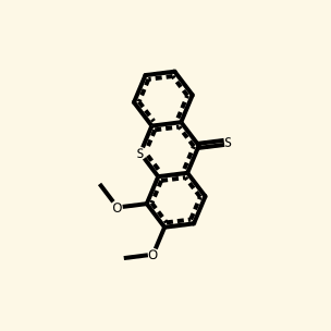 COc1ccc2c(=S)c3ccccc3sc2c1OC